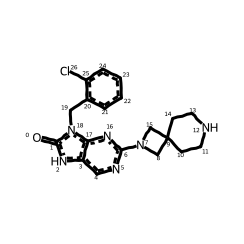 O=c1[nH]c2cnc(N3CC4(CCNCC4)C3)nc2n1Cc1ccccc1Cl